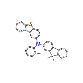 Cc1ccccc1N(c1ccc2c(c1)C(C)(C)c1ccccc1-2)c1ccc2sc3ccccc3c2c1